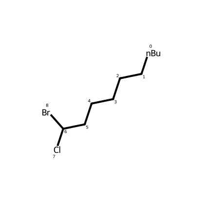 CCCCCCCCCC(Cl)Br